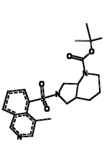 Cc1cncc2cccc(S(=O)(=O)N3CC4CCCN(C(=O)OC(C)(C)C)C4C3)c12